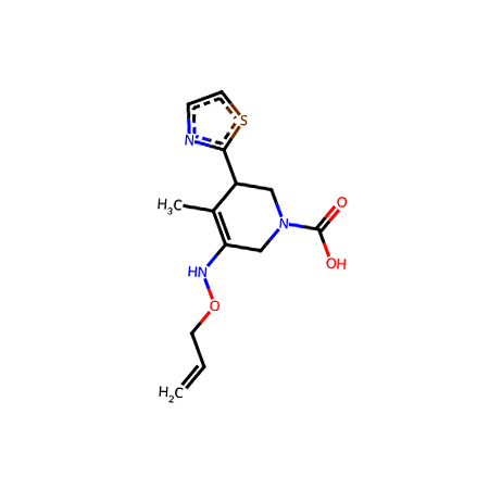 C=CCONC1=C(C)C(c2nccs2)CN(C(=O)O)C1